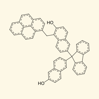 Oc1ccc2cc(C3(c4ccc5c(Cc6ccc7ccc8cccc9ccc6c7c89)c(O)ccc5c4)c4ccccc4-c4ccccc43)ccc2c1